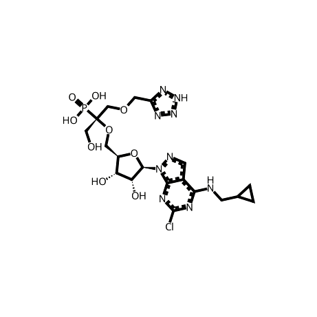 O=P(O)(O)[C@](CO)(COCc1nn[nH]n1)OC[C@H]1O[C@@H](n2ncc3c(NCC4CC4)nc(Cl)nc32)[C@H](O)[C@@H]1O